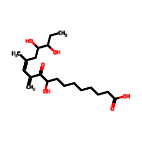 C=C(/C=C(/C)CC(O)C(O)CC)C(=O)C(O)CCCCCCCC(=O)O